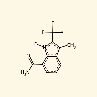 Cc1c(C(F)(F)F)n(F)c2c(C(N)=O)cccc12